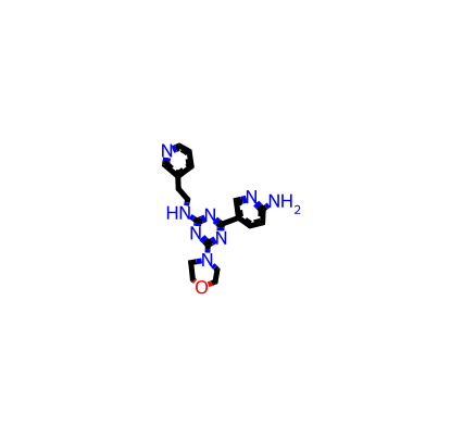 Nc1ccc(-c2nc(NCCc3cccnc3)nc(N3CCOCC3)n2)cn1